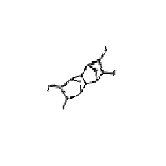 IC1C(I)C2CC1C1C3CC(C(I)C3I)C21